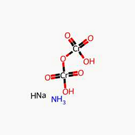 N.[NaH].[O]=[Cr](=[O])([OH])[O][Cr](=[O])(=[O])[OH]